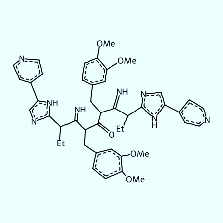 CCC(C(=N)C(Cc1ccc(OC)c(OC)c1)C(=O)C(Cc1ccc(OC)c(OC)c1)C(=N)C(CC)c1ncc(-c2ccncc2)[nH]1)c1ncc(-c2ccncc2)[nH]1